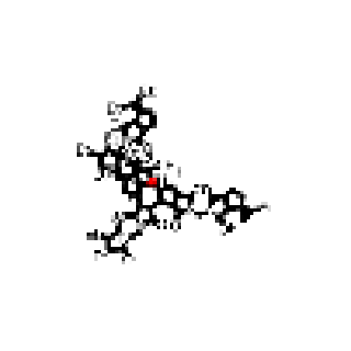 CCC1C(=O)N(CN2C(=O)C(C)C(C3CC4C(=O)N(CN5C(=O)C6CCC7(C(CC)C7CC)C6C5=O)C(=O)C4C3C3C(=O)N(CN4C(=O)C(CC)C(CC)C4=O)C(=O)C3C3CC4C(=O)N(CN5C(=O)C6CCC7(C(CC)C7CC)C6C5=O)C(=O)C4C3C)C2=O)C(=O)C1CC